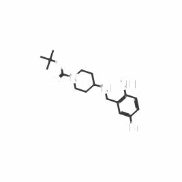 CC(C)(C)OC(=O)N1CCC(NCc2cc(Br)ccc2N)CC1